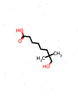 CC(C)(CO)CCCCCC(=O)O